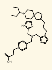 CCC(CC)N1CCC2(CCN(CCCn3ccnc3CN(Cc3ccc(CCC(=O)O)cc3)Cc3ncc[nH]3)C2)CC1